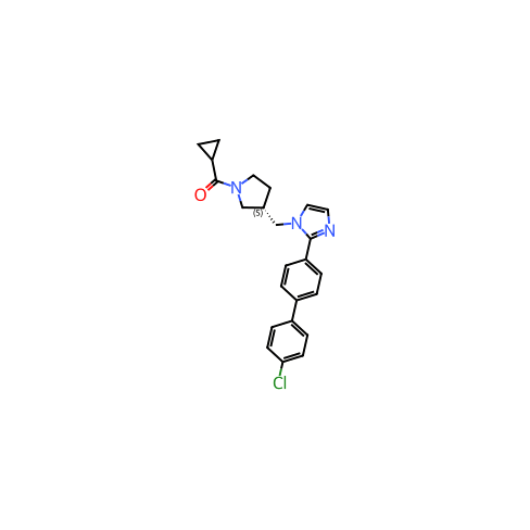 O=C(C1CC1)N1CC[C@H](Cn2ccnc2-c2ccc(-c3ccc(Cl)cc3)cc2)C1